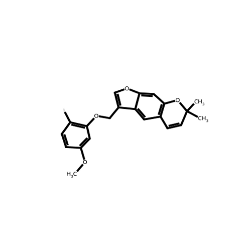 COc1ccc(I)c(OCc2coc3cc4c(cc23)C=CC(C)(C)O4)c1